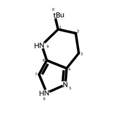 CC(C)(C)C1CCc2n[nH]cc2N1